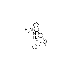 Nc1c(-c2ccc(-n3ccnc3CCc3ccccc3)cc2)cc2ccccc2c1N